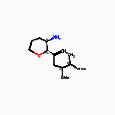 C=C(C[C@H](OC)[C@@H](C)CCCCCC)[C@@H]1OCCC[C@H]1N